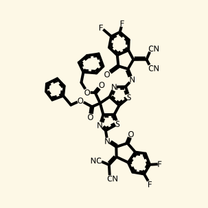 N#CC(C#N)=C1/C(=N/c2nc3c(s2)-c2sc(/N=C4\C(=O)c5cc(F)c(F)cc5C4=C(C#N)C#N)nc2C3(C(=O)OCc2ccccc2)C(=O)OCc2ccccc2)C(=O)c2cc(F)c(F)cc21